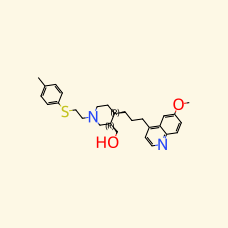 COc1ccc2nccc(CCC[C@@H]3CCN(CCSc4ccc(C)cc4)C[C@@H]3CO)c2c1